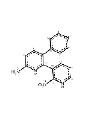 Nc1ccc(-c2ccncc2)c(-c2cccnc2[N+](=O)[O-])n1